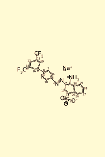 Nc1c(N=Nc2ccc(-c3cc(C(F)(F)F)cc(C(F)(F)F)c3)nc2)cc(S(=O)(=O)[O-])c2ccccc12.[Na+]